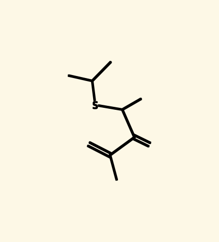 C=C(C)C(=C)C(C)SC(C)C